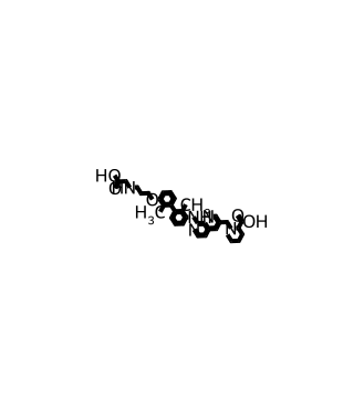 Cc1c(Nc2nccc3cc(CN4CCCCC4C(=O)O)cnc23)cccc1-c1cccc(OCCCNCC(=O)O)c1C